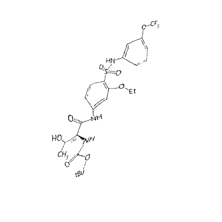 CCOc1cc(NC(=O)[C@@H](NC(=O)OC(C)(C)C)C(C)O)ccc1S(=O)(=O)Nc1cccc(OC(F)(F)F)c1